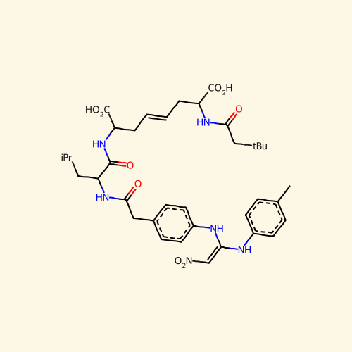 Cc1ccc(NC(=C[N+](=O)[O-])Nc2ccc(CC(=O)NC(CC(C)C)C(=O)NC(CC=CCC(NC(=O)CC(C)(C)C)C(=O)O)C(=O)O)cc2)cc1